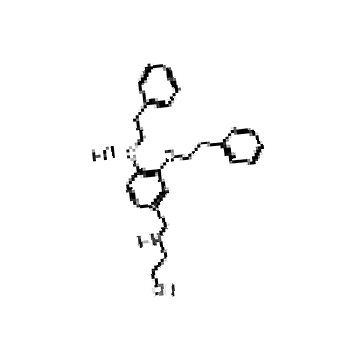 Cl.OCCNCc1ccc(OCCc2ccccc2)c(OCCc2ccccc2)c1